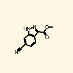 COC(=O)c1n[nH]c2cc(C#N)ccc12